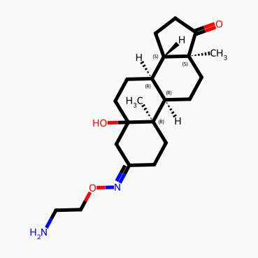 C[C@]12CC[C@@H]3[C@@H](CCC4(O)CC(=NOCCN)CC[C@]34C)[C@@H]1CCC2=O